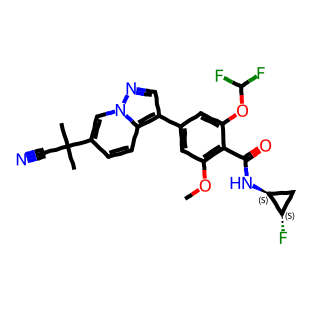 COc1cc(-c2cnn3cc(C(C)(C)C#N)ccc23)cc(OC(F)F)c1C(=O)N[C@H]1C[C@@H]1F